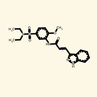 CCN(CC)S(=O)(=O)c1ccc(OC)c(NC(=O)/C=C/c2n[nH]c3ccccc23)c1